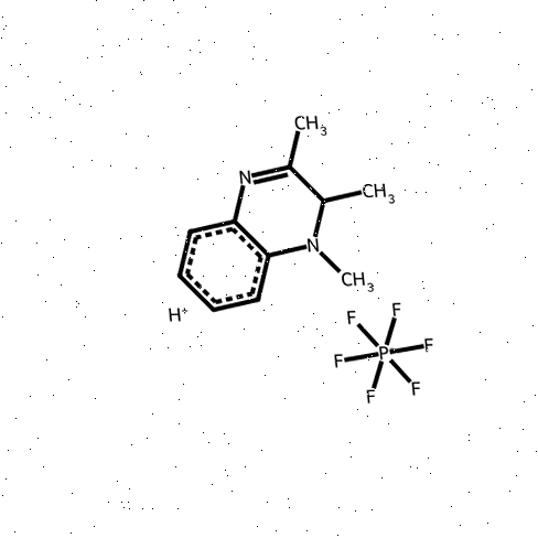 CC1=Nc2ccccc2N(C)C1C.F[P-](F)(F)(F)(F)F.[H+]